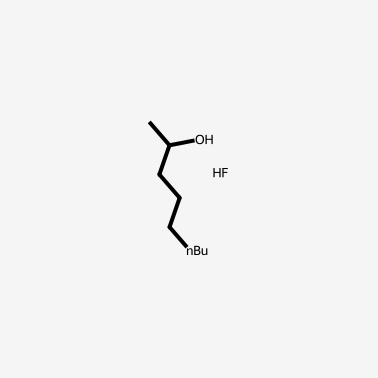 CCCCCCCC(C)O.F